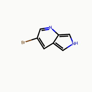 Brc1cnc2c[nH]cc2c1